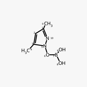 Cc1cc(C)n(OB(O)O)n1